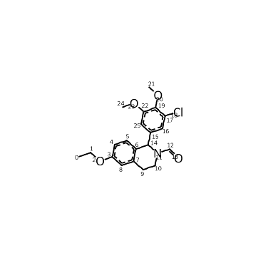 CCOc1ccc2c(c1)CCN(C=O)C2c1cc(Cl)c(OC)c(OC)c1